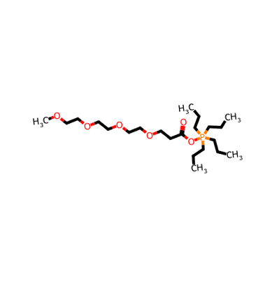 CCCP(CCC)(CCC)(CCC)OC(=O)CCOCCOCCOCCOC